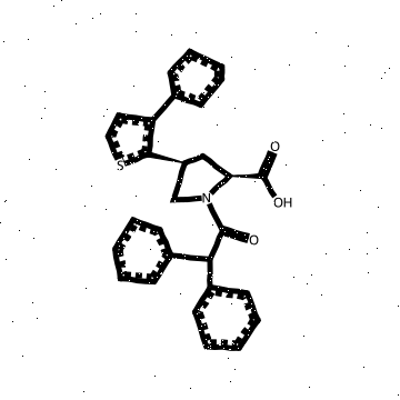 O=C(O)[C@@H]1C[C@H](c2sccc2-c2ccccc2)CN1C(=O)C(c1ccccc1)c1ccccc1